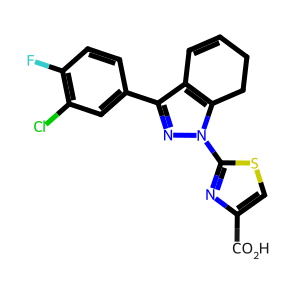 O=C(O)c1csc(-n2nc(-c3ccc(F)c(Cl)c3)c3c2CCC=C3)n1